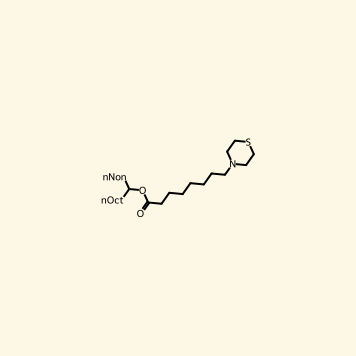 CCCCCCCCCC(CCCCCCCC)OC(=O)CCCCCCCN1CCSCC1